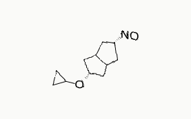 O=N[C@H]1CC2C[C@@H](OC3CC3)CC2C1